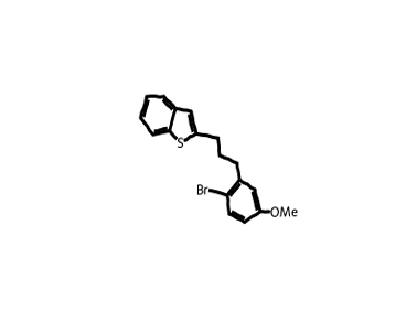 COc1ccc(Br)c(CCCc2cc3ccccc3s2)c1